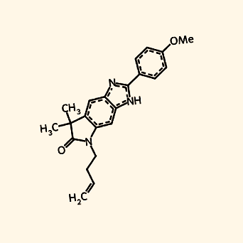 C=CCCN1C(=O)C(C)(C)c2cc3nc(-c4ccc(OC)cc4)[nH]c3cc21